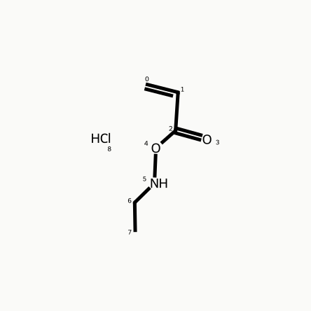 C=CC(=O)ONCC.Cl